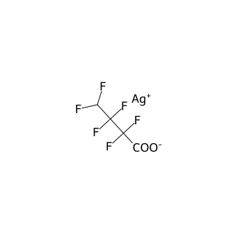 O=C([O-])C(F)(F)C(F)(F)C(F)F.[Ag+]